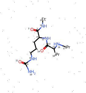 CCNC(=O)C(CCCNC(N)=O)NC(=O)C(NC(C)C)C(C)C